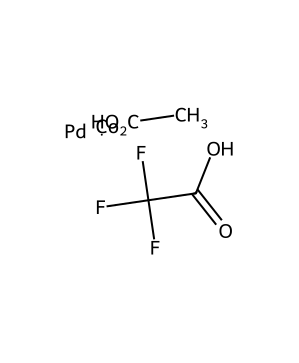 CC(=O)O.O=C(O)C(F)(F)F.[Co].[Pd]